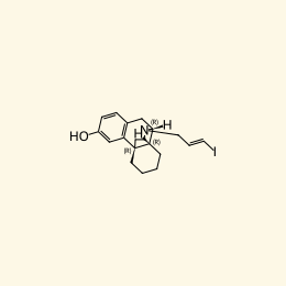 Oc1ccc2c(c1)[C@@]13CCCC[C@H]1[C@@H](C2)N(CC=CI)CC3